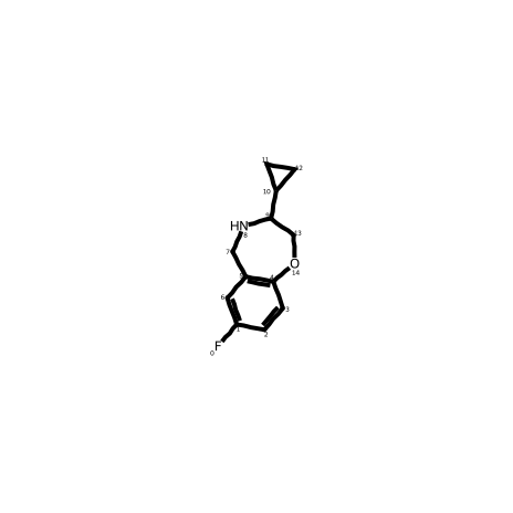 Fc1ccc2c(c1)CNC(C1CC1)CO2